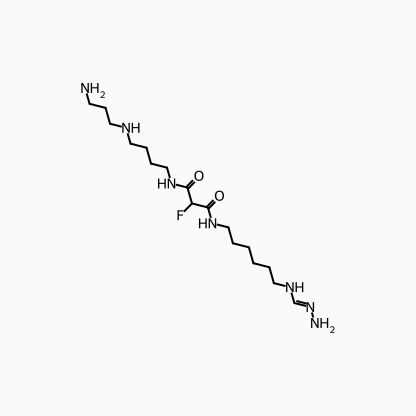 NCCCNCCCCNC(=O)C(F)C(=O)NCCCCCCNC=NN